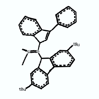 C[Si](C)=[Zr]([CH]1C=C(c2ccccc2)c2ccccc21)[CH]1c2cc(C(C)(C)C)ccc2-c2ccc(C(C)(C)C)cc21